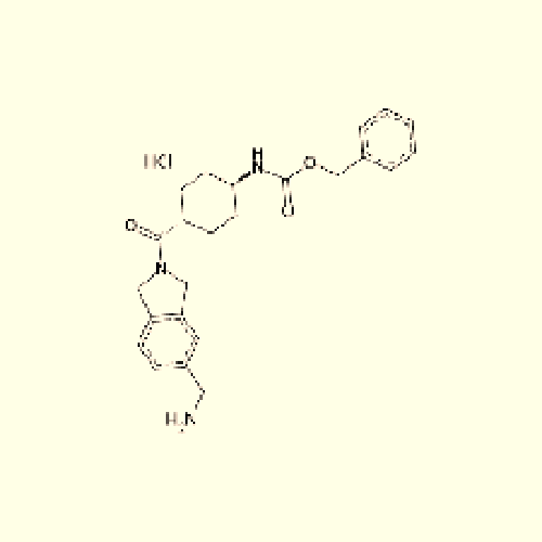 Cl.NCc1ccc2c(c1)CN(C(=O)[C@H]1CC[C@H](NC(=O)OCc3ccccc3)CC1)C2